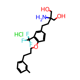 Cc1cccc(CCCOc2ccc(CCC(N)(CO)CO)cc2C(F)(F)F)c1.Cl